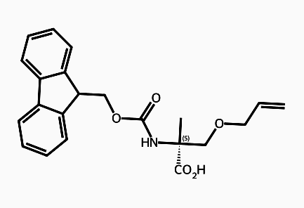 C=CCOC[C@](C)(NC(=O)OCC1c2ccccc2-c2ccccc21)C(=O)O